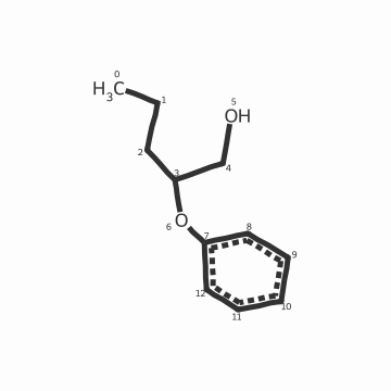 CCCC(CO)Oc1ccccc1